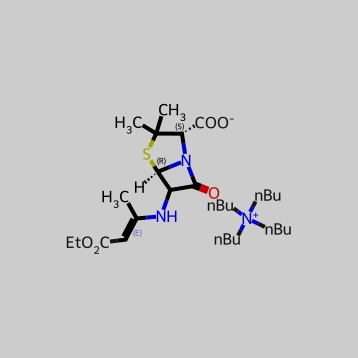 CCCC[N+](CCCC)(CCCC)CCCC.CCOC(=O)/C=C(\C)NC1C(=O)N2[C@@H]1SC(C)(C)[C@@H]2C(=O)[O-]